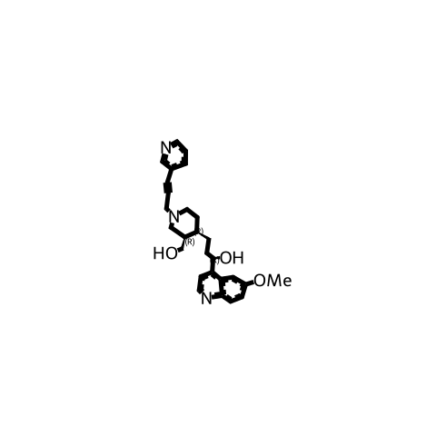 COc1ccc2nccc([C@H](O)CC[C@@H]3CCN(CC#Cc4cccnc4)C[C@@H]3CO)c2c1